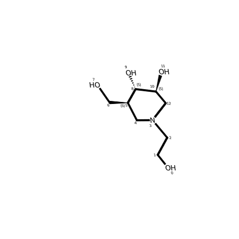 OCCN1C[C@@H](CO)[C@H](O)[C@@H](O)C1